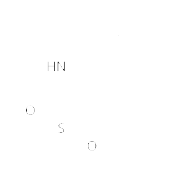 CC1=CC(S(C)(=O)=O)NC=[C]1